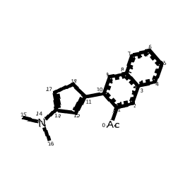 CC(=O)c1cc2ccccc2cc1C1=CC(N(C)C)=CC1